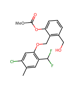 COC(=O)Oc1cccc(CO)c1COc1cc(Cl)c(C)cc1C(F)F